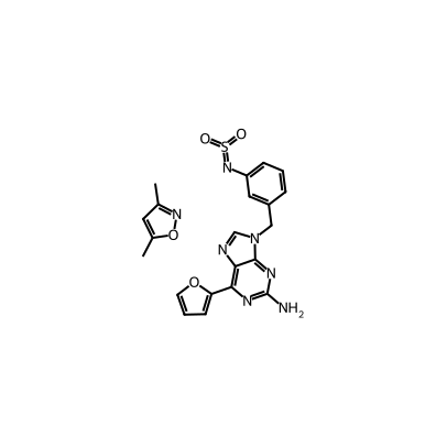 Cc1cc(C)on1.Nc1nc(-c2ccco2)c2ncn(Cc3cccc(N=S(=O)=O)c3)c2n1